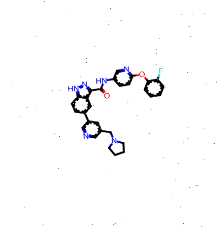 O=C(Nc1ccc(Oc2ccccc2F)nc1)c1n[nH]c2ccc(-c3cncc(CN4CCCC4)c3)cc12